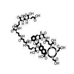 CN(C(=O)CNC(=O)CCC(C(=O)O)N1CCN(CC(=O)O)CCN(CC(=O)O)CCN(CC(=O)O)CC1)[C@H](Cc1ccc(O)cc1)C(=O)N[C@H](Cc1ccc2ccccc2c1)C(=O)N[C@H](CCCCNC(=O)CCC(=O)NCCC[C@H](NC(=O)CC[C@H](NC(=O)N[C@@H](CCC(=O)O)C(=O)O)C(=O)O)C(=O)O)C(=O)O